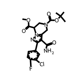 COC(=O)C1CN(C(=O)OC(C)(C)C)Cc2c(C(N)=O)c(-c3ccc(F)c(Cl)c3)nn21